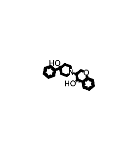 O[C@@H]1c2ccccc2OC[C@@H]1N1CCC(O)(c2ccccc2)CC1